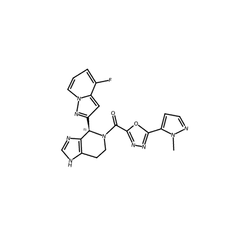 Cn1nccc1-c1nnc(C(=O)N2CCc3[nH]cnc3[C@H]2c2cc3c(F)cccn3n2)o1